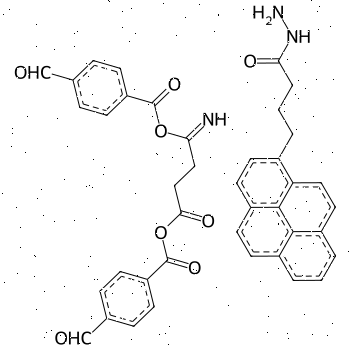 N=C(CCC(=O)OC(=O)c1ccc(C=O)cc1)OC(=O)c1ccc(C=O)cc1.NNC(=O)CCCc1ccc2ccc3cccc4ccc1c2c34